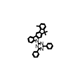 Cc1cccc2c1-c1cc3c4ccccc4n(-c4nc(-c5ccccc5)nc(-c5ccccc5)n4)c3cc1C2(C)C